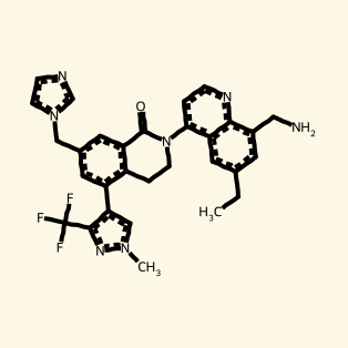 CCc1cc(CN)c2nccc(N3CCc4c(cc(Cn5ccnc5)cc4-c4cn(C)nc4C(F)(F)F)C3=O)c2c1